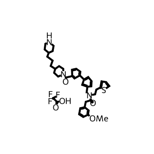 COc1cccc(CC(=O)N(CCc2cccs2)Cc2cccc(-c3cccc(C(=O)N4CCC(CCCC5CCNCC5)CC4)c3)c2)c1.O=C(O)C(F)(F)F